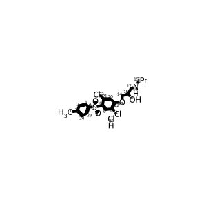 Cc1ccc(S(=O)(=O)c2cc(Cl)c(OCC(O)CNC(C)C)cc2Cl)cc1.Cl